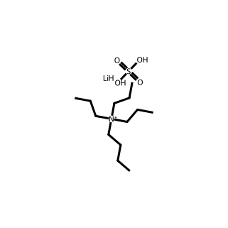 CCCC[N+](CCC)(CCC)CCC.O=S(=O)(O)O.[LiH]